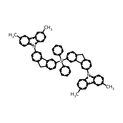 Cc1ccc2c(c1)c1cc(C)ccc1n2-c1ccc2c(c1)-c1cc([Si](c3ccccc3)(c3ccccc3)c3ccc4c(c3)-c3cc(-n5c6ccc(C)cc6c6cc(C)ccc65)ccc3C4)ccc1C2